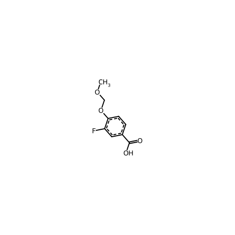 COCOc1ccc(C(=O)O)cc1F